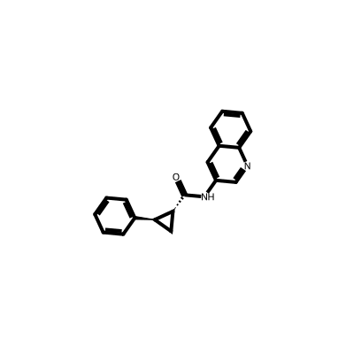 O=C(Nc1cnc2ccccc2c1)[C@@H]1C[C@H]1c1ccccc1